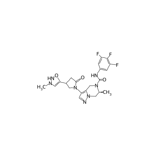 C[C@H]1Cn2ncc(N3CC(C4=CN(C)NO4)CC3=O)c2CN1C(=O)Nc1cc(F)c(F)c(F)c1